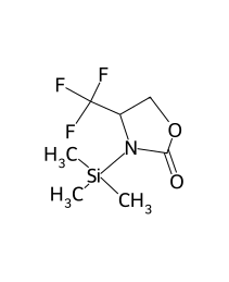 C[Si](C)(C)N1C(=O)OCC1C(F)(F)F